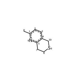 Cc1ccc2c(n1)CCSC2